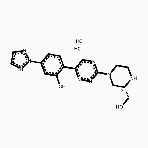 Cl.Cl.OC[C@@H]1CN(c2ncc(-c3ccc(-n4nccn4)cc3O)nn2)CCN1